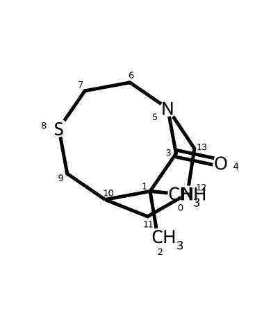 CC1(C)C(=O)N2CCSCC1CNC2